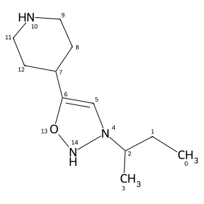 CCC(C)N1C=C(C2CCNCC2)ON1